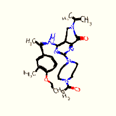 CCOc1ccc(C(C)Nc2nc(N3CCN(C(C)=O)CC3)nc3c2CN(C(C)C)C3=O)cc1C